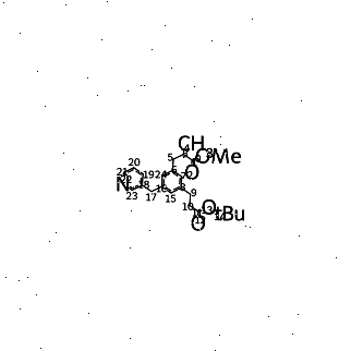 COC(=O)C(C)Cc1cc(CCC(=O)OC(C)(C)C)cc(Cc2cccnc2)c1